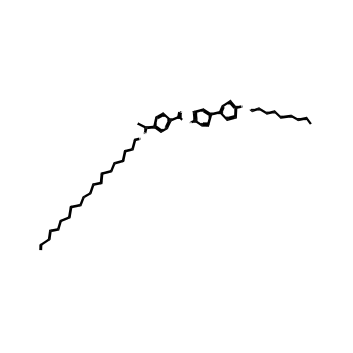 CCCCCCCCCCCCCCCCCCCCOC(C)c1ccc(C(=O)Oc2ccc(-c3ccc(OCCCCCCCCC)cc3)cc2)cc1